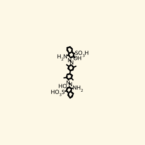 Cc1cc(-c2cc(C)c(/N=N/c3c(O)c(S(=O)(=O)O)c4ccccc4c3N)c(C)c2)cc(C)c1/N=N/c1c(O)c(S(=O)(=O)O)c2ccccc2c1N